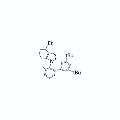 CCC1CCCC2=C1S[C]N2c1c(C)cccc1-c1cc(C(C)(C)C)cc(C(C)(C)C)c1